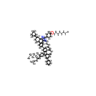 CCCCCCCCOc1ccc(-c2nc3c4cc(-c5ccccc5)ccc4c4ccc(-c5ccc6c(c5)C(CCCCCCCC)(CCCCCCCC)c5cc(-c7ccccc7)ccc5-6)cc4c3n2CCCCCCCC)cc1